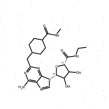 CCNC(=O)[C@H]1O[C@@H](n2cnc3c(N)nc(CC4CCC(C(=O)NC)CC4)nc32)C(O)C1O